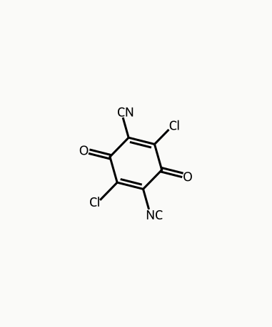 [C-]#[N+]C1=C(Cl)C(=O)C(C#N)=C(Cl)C1=O